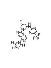 F[C@@H]1C[C@@H](Nc2ncc(C(F)(F)F)cn2)CN(c2ncc3c(N4C[C@@H]5C[C@H]4CN5)nccn23)C1